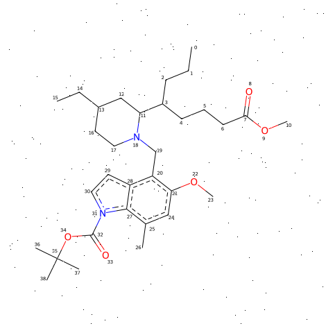 CCCC(CCCC(=O)OC)C1CC(CC)CCN1Cc1c(OC)cc(C)c2c1ccn2C(=O)OC(C)(C)C